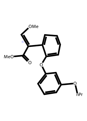 CCCOc1cccc(Oc2ccccc2/C(=C\OC)C(=O)OC)c1